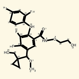 COC(c1cc(C(=O)NOCCO)c(Nc2ccc(I)cc2F)c(F)c1F)C1(CO)CC1